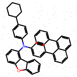 c1ccc(-c2cccc3cccc(-c4ccc(N(c5ccc(C6CCCCC6)cc5)c5cccc6oc7ccccc7c56)cc4)c23)cc1